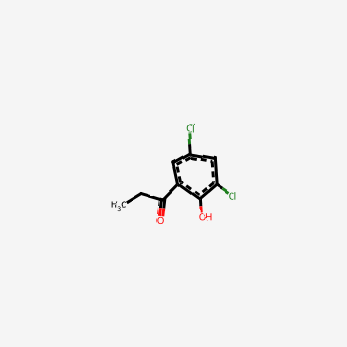 CCC(=O)c1cc(Cl)cc(Cl)c1O